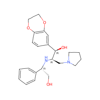 OC[C@@H](N[C@H](CN1CCCC1)[C@H](O)c1ccc2c(c1)OCCO2)c1ccccc1